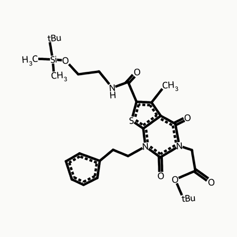 Cc1c(C(=O)NCCO[Si](C)(C)C(C)(C)C)sc2c1c(=O)n(CC(=O)OC(C)(C)C)c(=O)n2CCc1ccccc1